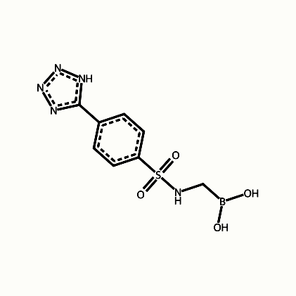 O=S(=O)(NCB(O)O)c1ccc(-c2nnn[nH]2)cc1